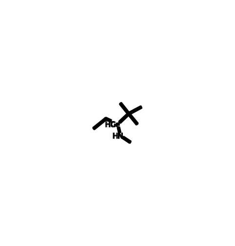 C[CH2][GeH]([NH]C)[C](C)(C)C